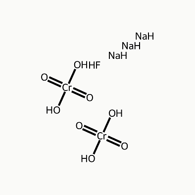 F.[NaH].[NaH].[NaH].[O]=[Cr](=[O])([OH])[OH].[O]=[Cr](=[O])([OH])[OH]